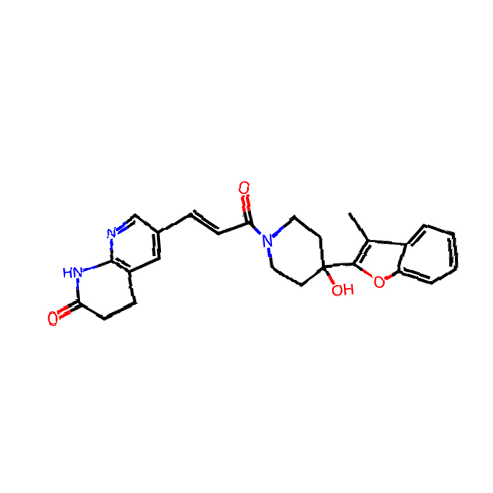 Cc1c(C2(O)CCN(C(=O)C=Cc3cnc4c(c3)CCC(=O)N4)CC2)oc2ccccc12